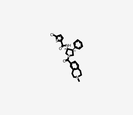 CN1CCc2ccc(C(=O)N3C[C@H](NC(=O)c4ccc(Cl)s4)[C@@H](c4ccccc4)C3)cc2CC1